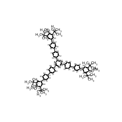 COc1c(C(C)(C)C)cc(-c2ccc(-c3ccc(-c4nc(-c5ccc(-c6ccc(-c7cc(C(C)(C)C)c(OC)c(C(C)(C)C)c7)cc6)cc5)nc(-c5ccc(-c6ccc(-c7cc(C(C)(C)C)c(OC)c(C(C)(C)C)c7)cc6)cc5)n4)cc3)cc2)cc1C(C)(C)C